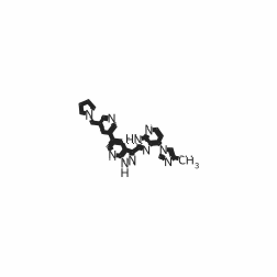 Cc1cn(-c2ccnc3[nH]c(-c4n[nH]c5ncc(-c6cncc(CN7CCCC7)c6)cc45)nc23)cn1